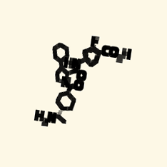 CC(N)[C@H]1CC[C@H](C(=O)N2CCC(C3CCCCC3)[C@H]2C(=O)Nc2ccc(C(=O)O)c(F)c2)CC1